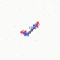 CC[C@@H](C)[C@@H](C(=O)N1CCC[C@H]1c1ncc(-c2ccc(-c3ccc(-c4cnc([C@@H]5CCCN5C(=O)[C@H]([C@H](C)CC)N(C)C(=O)OC(C)(C)C)[nH]4)cc3)cc2)[nH]1)N(C)C(=O)OC(C)(C)C